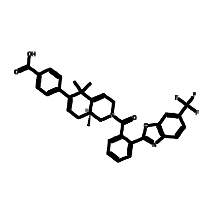 CC1(C)C(c2ccc(C(=O)O)cc2)=CC[C@]2(C)CN(C(=O)c3ccccc3-c3nc4ccc(C(F)(F)F)cc4o3)CC=C12